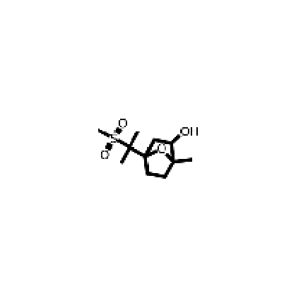 CC12CCC(C(C)(C)S(C)(=O)=O)(CC1O)O2